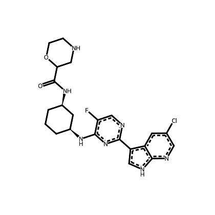 O=C(N[C@@H]1CCC[C@H](Nc2nc(-c3c[nH]c4ncc(Cl)cc34)ncc2F)C1)C1CNCCO1